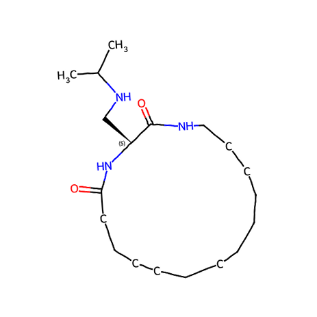 CC(C)NC[C@@H]1NC(=O)CCCCCCCCCCCCNC1=O